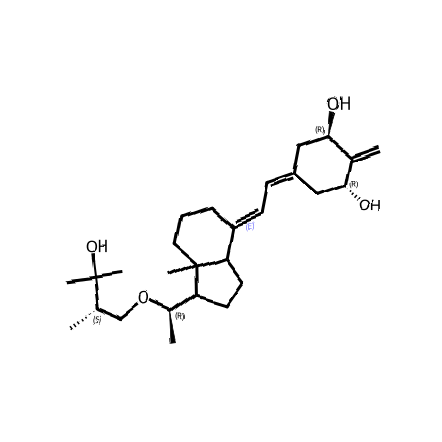 C=C1[C@H](O)CC(=C/C=C2\CCCC3(C)C2CCC3[C@@H](C)OC[C@H](C)C(C)(C)O)C[C@H]1O